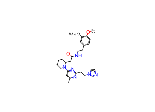 CCOc1ccc(CCNC(=O)CC2CCCCN2c2cc(C)nc(CCn3ccnc3)n2)cc1OC